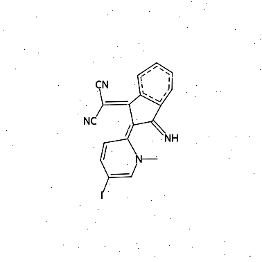 CN1C=C(I)C=C/C1=C1/C(=N)c2ccccc2C1=C(C#N)C#N